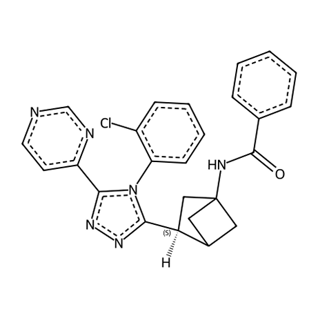 O=C(NC12CC(C1)[C@@H](c1nnc(-c3ccncn3)n1-c1ccccc1Cl)C2)c1ccccc1